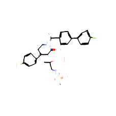 C[C@@H](c1ccc(-c2ccc(F)cc2)cc1)N1CC[C@](CC(O)CNS(C)(=O)=O)(c2ccc(F)cc2)CC1=O